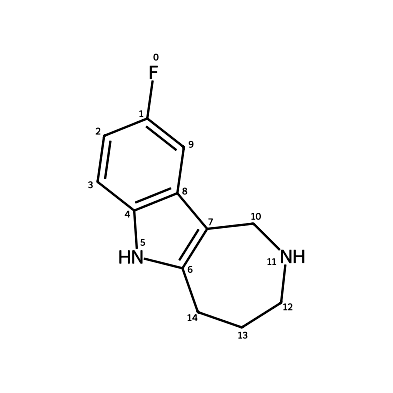 Fc1ccc2[nH]c3c(c2c1)CNCCC3